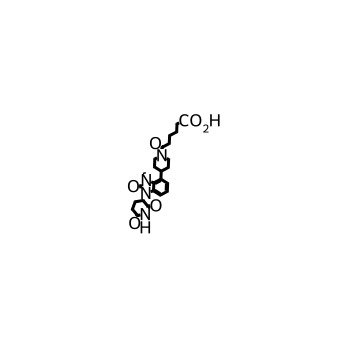 Cn1c(=O)n(C2CCC(=O)NC2=O)c2cccc(C3CCN(C(=O)CCCCC(=O)O)CC3)c21